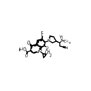 CNC(CC#N)C1CCN(c2c(F)cc3c(=O)c(C(=O)O)cn(C4CC4)c3c2OC)C1